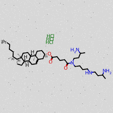 CC(C)CCC[C@@H](C)[C@H]1CC[C@H]2[C@@H]3CC=C4C[C@@H](OC(=O)CCCC(=O)N(CCCCNCCC(C)N)CCC(C)N)CC[C@]4(C)[C@H]3CC[C@]12C.Cl.Cl.Cl